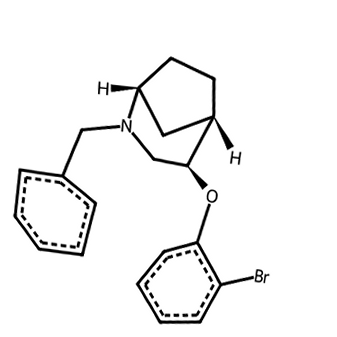 Brc1ccccc1O[C@H]1CN(Cc2ccccc2)[C@@H]2CC[C@H]1C2